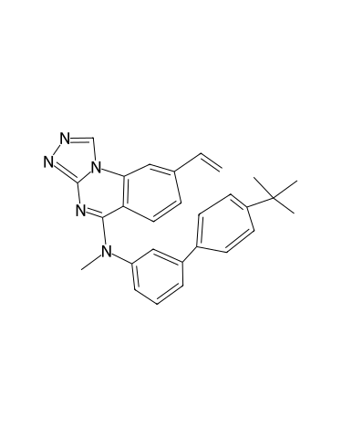 C=Cc1ccc2c(N(C)c3cccc(-c4ccc(C(C)(C)C)cc4)c3)nc3nncn3c2c1